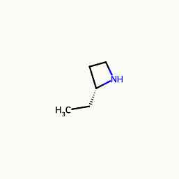 CC[C@@H]1CCN1